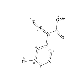 COC(=O)C(=[N+]=[N-])c1cccc(Cl)c1